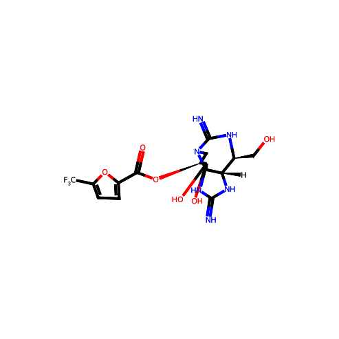 N=C1N[C@H]2[C@H](CO)NC(=N)N3C[C@H](OC(=O)c4ccc(C(F)(F)F)o4)C(O)(O)[C@]23N1